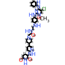 COc1cc(NCCNC(=O)CN2CCC(c3ccc(NC4CCC(=O)NC4=O)nc3)CC2)ccc1Nc1ncc(Cl)c(Nc2ccccc2)n1